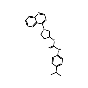 CC(C)c1ccc(NC(=O)OC2CCN(c3ncnc4ccccc34)C2)cc1